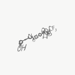 O=C(NS(=O)(=O)CCC(F)(F)F)c1ccc(N2CCN(C(=O)c3cncc(C#Cc4cccc(O)c4)c3)CC2)cc1